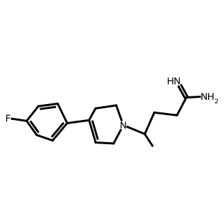 CC(CCC(=N)N)N1CC=C(c2ccc(F)cc2)CC1